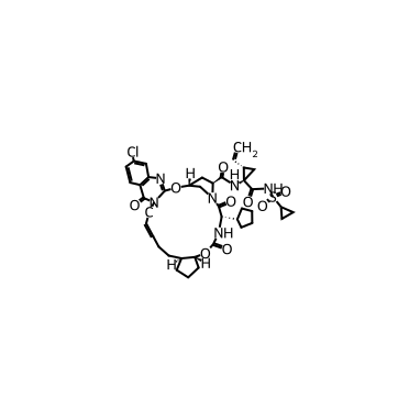 C=C[C@@H]1C[C@]1(NC(=O)[C@@H]1C[C@@H]2CN1C(=O)[C@H](C1CCCC1)NC(=O)O[C@@H]1CCC[C@H]1CC/C=C/Cn1c(nc3cc(Cl)ccc3c1=O)O2)C(=O)NS(=O)(=O)C1CC1